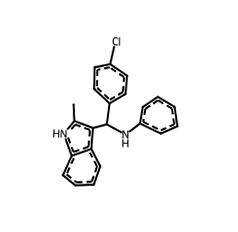 Cc1[nH]c2ccccc2c1C(Nc1ccccc1)c1ccc(Cl)cc1